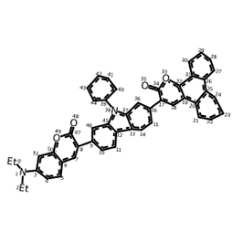 CCN(CC)c1ccc2cc(-c3ccc4c5ccc(-c6cc7c8ccccc8c8ccccc8c7oc6=O)cc5n(-c5ccccc5)c4c3)c(=O)oc2c1